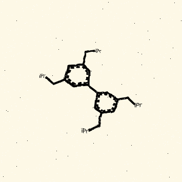 CC(C)Cc1[c]c(-c2[c]c(CC(C)C)cc(CC(C)C)c2)cc(CC(C)C)c1